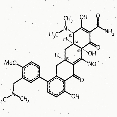 COc1ccc(-c2ccc(O)c3c2C[C@H]2C[C@H]4[C@H](N(C)C)C(O)=C(C(N)=O)C(=O)[C@@]4(O)C(N=O)=C2C3=O)cc1CN(C)C